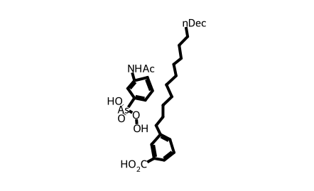 CC(=O)Nc1cccc([As](=O)(O)OO)c1.CCCCCCCCCCCCCCCCCCCCc1cccc(C(=O)O)c1